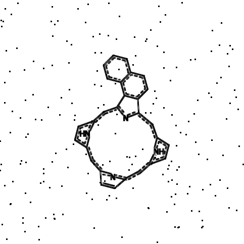 C1=Cc2cc3ccc(cc4nc(cc5ccc(cc1n2)[nH]5)-c1ccc2ccccc2c1-4)[nH]3